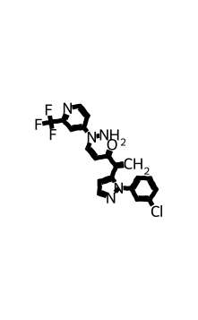 C=C(C(=O)/C=C\N(N)c1ccnc(C(F)(F)F)c1)c1ccnn1-c1cccc(Cl)c1